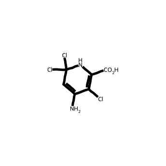 NC1=CC(Cl)(Cl)NC(C(=O)O)=C1Cl